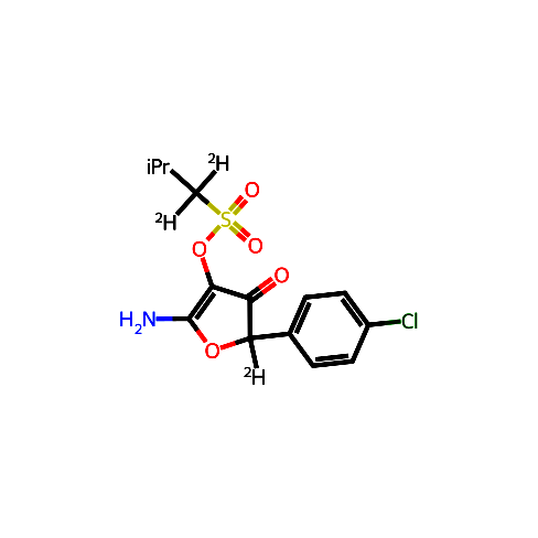 [2H]C1(c2ccc(Cl)cc2)OC(N)=C(OS(=O)(=O)C([2H])([2H])C(C)C)C1=O